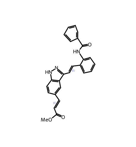 COC(=O)/C=C/c1ccc2[nH]nc(/C=C/c3ccccc3NC(=O)c3ccccc3)c2c1